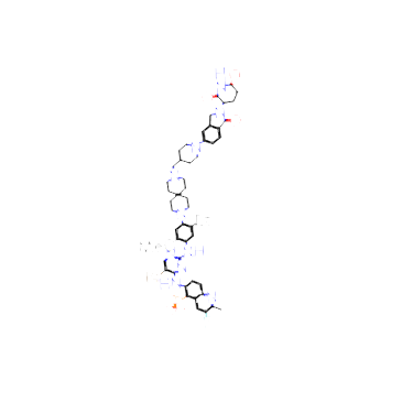 CCc1cc(Nc2ncc(Br)c(Nc3ccc4nc(C)c(F)cc4c3P(C)(C)=O)n2)c(OC)cc1N1CCC2(CCN(CC3CCN(c4ccc5c(c4)CN(C4CCC(=O)NC4=O)C5=O)CC3)CC2)CC1